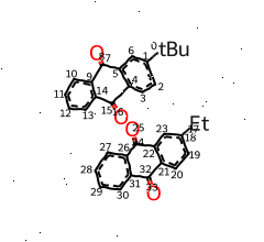 CC(C)(C)c1ccc2c(c1)C(=O)c1ccccc1C2=O.CCc1ccc2c(c1)C(=O)c1ccccc1C2=O